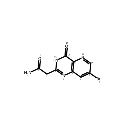 NC(=O)Cc1nc2cc(Br)cnc2c(=O)[nH]1